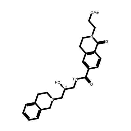 COCCN1CCc2cc(C(=O)NC[C@H](O)CN3CCc4ccccc4C3)ccc2C1=O